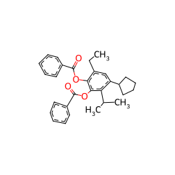 CCc1cc(C2CCCC2)c(C(C)C)c(OC(=O)c2ccccc2)c1OC(=O)c1ccccc1